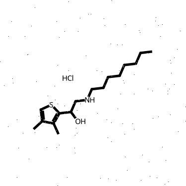 CCCCCCCCNCC(O)c1scc(C)c1C.Cl